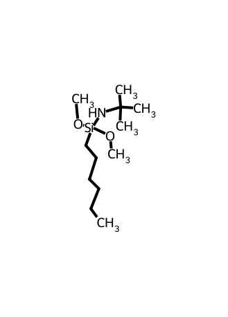 CCCCCC[Si](NC(C)(C)C)(OC)OC